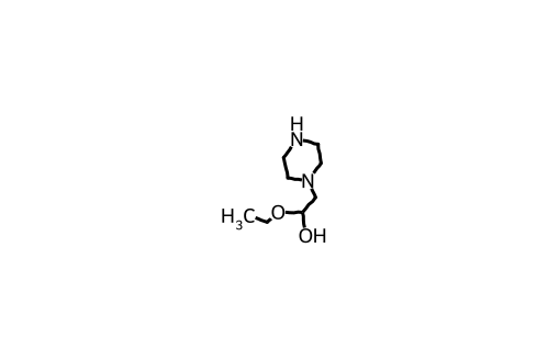 CCOC(O)CN1CCNCC1